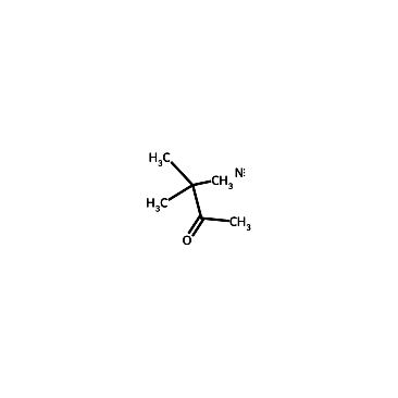 CC(=O)C(C)(C)C.[N]